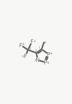 CC1=C(C(F)(F)F)[N]P=P1